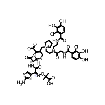 CC(C)(O/N=C(\C(=O)N[C@@H]1C(=O)N2C(C(=O)[O-])=C(C[N+]3(CCN(CCNC(=O)c4ccc(O)c(O)c4Cl)C(=O)CNC(=O)c4ccc(O)c(O)c4Cl)CCCC3)CS[C@H]12)c1csc(N)n1)C(=O)O